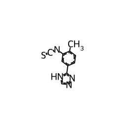 Cc1ccc(-c2nnc[nH]2)cc1N=C=S